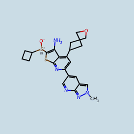 Cn1cc2cc(-c3cc(C4CC5(COC5)C4)c4c(N)c([S@+]([O-])C5CCC5)sc4n3)cnc2n1